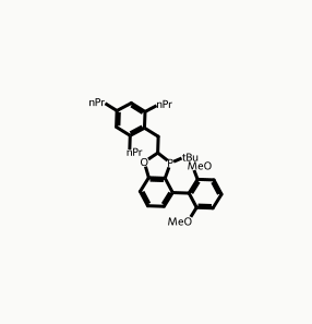 CCCc1cc(CCC)c(CC2Oc3cccc(-c4c(OC)cccc4OC)c3P2C(C)(C)C)c(CCC)c1